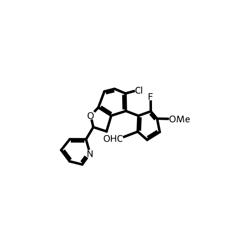 COc1ccc(C=O)c(-c2c(Cl)ccc3c2CC(c2ccccn2)O3)c1F